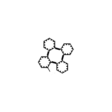 COc1cccc2/c1=c1/cccc/c1=c1\cccc\c1=c1/cccc/c1=2